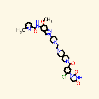 COc1cc2nn(C3CCN(CCN4CCC5(CC4)CCN(C(=O)c4ccc(Cl)c(N6CCC(=O)NC6=O)c4)CC5)CC3)cc2cc1NC(=O)c1cccc(C)n1